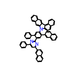 c1ccc(-c2cc(-c3ccc4ccccc4c3)nc(-c3cc(-c4ccc5ccccc5c4)c(-n4c5cc6ccccc6cc5c5c6ccccc6ccc54)cc3-c3ccccc3)n2)cc1